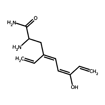 C=C/C(=C\C=C(\O)C=C)CC(N)C(N)=O